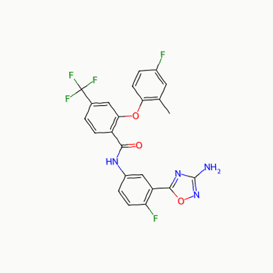 Cc1cc(F)ccc1Oc1cc(C(F)(F)F)ccc1C(=O)Nc1ccc(F)c(-c2nc(N)no2)c1